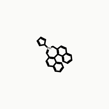 C1=CC([PH]2=Cc3ccc4ccccc4c3-c3c(ccc4ccccc34)C2)C=C1